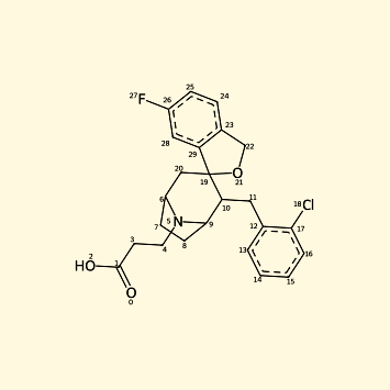 O=C(O)CCN1C2CCC1C(Cc1ccccc1Cl)C1(C2)OCc2ccc(F)cc21